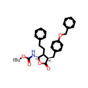 CC(C)(C)OC(=O)N[C@H]1OC(=O)[C@H](Cc2ccc(OCc3ccccc3)cc2)C1CCc1ccccc1